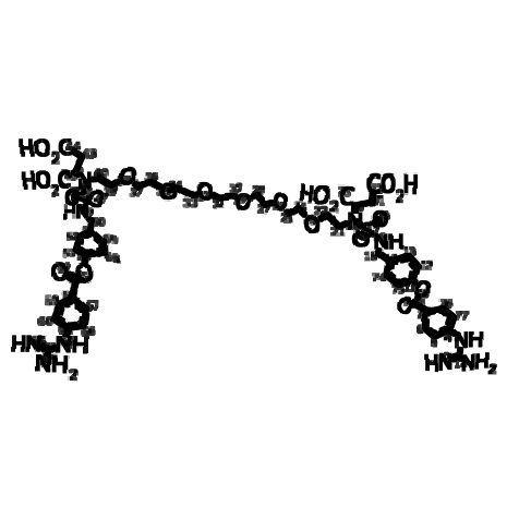 N=C(N)Nc1ccc(C(=O)Oc2ccc(CNS(=O)(=O)N(CCOCCOCCOCCOCCOCCOCCN([C@@H](CC(=O)O)C(=O)O)S(=O)(=O)NCc3ccc(OC(=O)c4ccc(NC(=N)N)cc4)cc3)[C@@H](CC(=O)O)C(=O)O)cc2)cc1